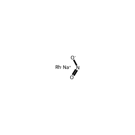 O=N[O-].[Na+].[Rh]